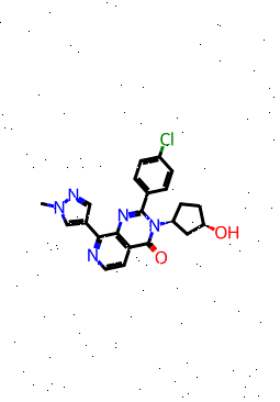 Cn1cc(-c2nccc3c(=O)n([C@H]4CC[C@@H](O)C4)c(-c4ccc(Cl)cc4)nc23)cn1